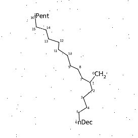 [CH2]C(CCCCCCCCCCCCCC)CCCCCCCCCC(C)CCC